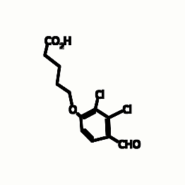 O=Cc1ccc(OCCCCC(=O)O)c(Cl)c1Cl